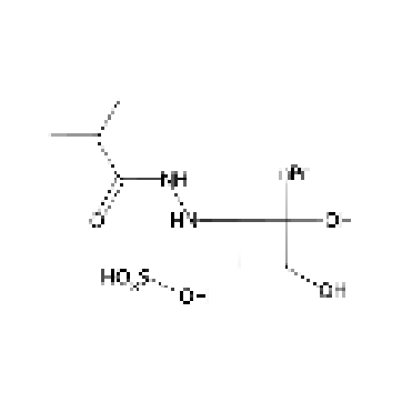 C=C(C)C(=O)NNC(C)(C)C(O)(CO)CCC.O=S(=O)(O)O